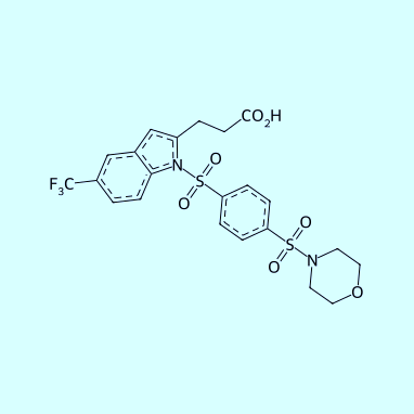 O=C(O)CCc1cc2cc(C(F)(F)F)ccc2n1S(=O)(=O)c1ccc(S(=O)(=O)N2CCOCC2)cc1